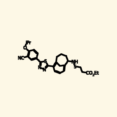 CCOC(=O)CCSNC1CCCC2=C(c3nnc(-c4ccc(OC(C)C)c(C#N)c4)s3)C=CC=C1C2